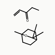 C=CC(=O)CC.CC12CCC(CC1)C(C)(C)O2